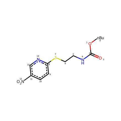 CCCCOC(=O)NCCSc1ccc([N+](=O)[O-])cn1